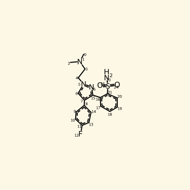 CN(C)CCn1cc(-c2ccc(F)cc2)c(-c2ccccc2S(N)(=O)=O)n1